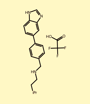 CC(C)CCNCc1ccc(-c2ccc3[nH]cnc3c2)cc1.O=C(O)C(F)(F)F